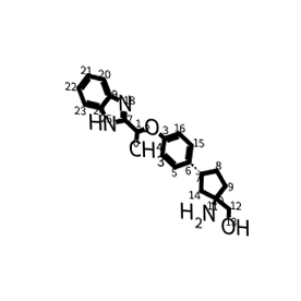 CC(Oc1ccc([C@@H]2CC[C@](N)(CO)C2)cc1)c1nc2ccccc2[nH]1